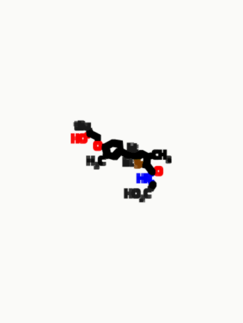 CCC(CC)(c1ccc(OCC(O)C(C)(C)C)c(C)c1)c1cc(C)c(C(=O)NCC(=O)O)s1